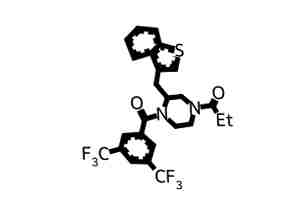 CCC(=O)N1CCN(C(=O)c2cc(C(F)(F)F)cc(C(F)(F)F)c2)C(Cc2csc3ccccc23)C1